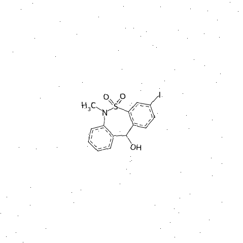 CN1c2ccccc2C(O)c2ccc(I)cc2S1(=O)=O